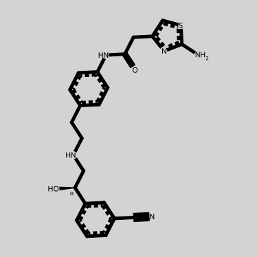 N#Cc1cccc([C@@H](O)CNCCc2ccc(NC(=O)Cc3csc(N)n3)cc2)c1